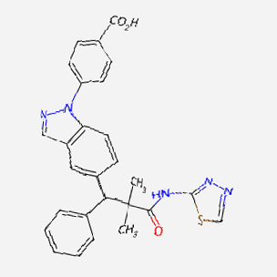 CC(C)(C(=O)Nc1nncs1)C(c1ccccc1)c1ccc2c(cnn2-c2ccc(C(=O)O)cc2)c1